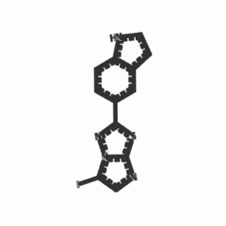 Ic1cnc2sc(-c3ccc4[nH]ccc4c3)nn12